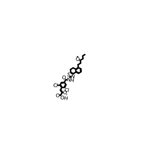 CCCC(CCc1cccc2c1CCc1sc(NC(=O)c3cc(Cl)c(/C=C(\OC)C(=O)O)c(Cl)c3)nc1-2)OC